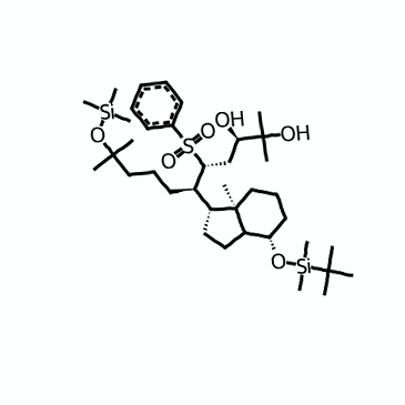 CC(C)(CCC[C@H]([C@H]1CCC2[C@@H](O[Si](C)(C)C(C)(C)C)CCC[C@@]21C)[C@@H](C[C@@H](O)C(C)(C)O)S(=O)(=O)c1ccccc1)O[Si](C)(C)C